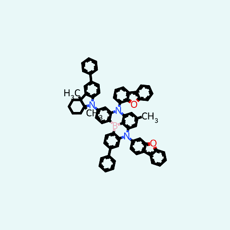 Cc1cc2c3c(c1)N(c1cccc4c1oc1ccccc14)c1cc(N4c5ccc(-c6ccccc6)cc5C5(C)CCCCC45C)ccc1B3c1ccc(-c3ccccc3)cc1N2c1ccc2c(c1)oc1ccccc12